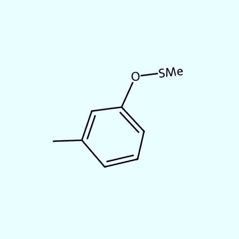 CSOc1cccc(C)c1